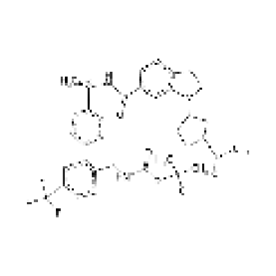 CC(=O)N1CCC(N2CCc3ccc(C(=O)N[C@H](C)c4ccc(-c5cc(C(F)(F)F)ccc5CNC(=O)OC(C)(C)C)cc4)cc32)C1